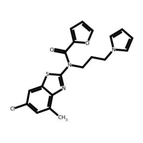 Cc1cc(Cl)cc2sc(N(CCCn3cccc3)C(=O)c3ccco3)nc12